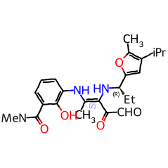 CC[C@@H](N/C(C(=O)C=O)=C(/C)Nc1cccc(C(=O)NC)c1O)c1cc(C(C)C)c(C)o1